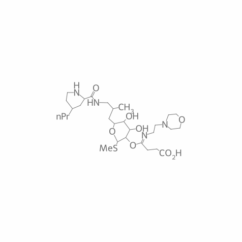 CCCC1CCNC(C(=O)NCC(C)CC2OC(SC)C(OC(CCC(=O)O)=NCCN3CCOCC3)C(O)C2O)C1